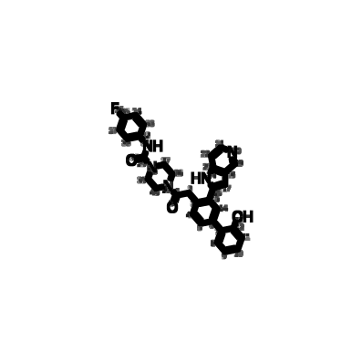 O=C(Cc1ccc(-c2ccccc2O)cc1-c1cc2cnccc2[nH]1)N1CCN(C(=O)Nc2ccc(F)cc2)CC1